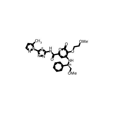 COCCOc1c(N[C@@H](COC)c2ccccc2)cc(C(=O)Nc2nnc(-n3nccc3C)s2)oc1=O